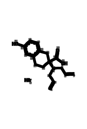 Br.C=CCN(CC=C)C1(C(=O)O)CCc2cc(O)ccc2C1